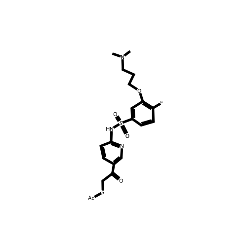 CC(=O)SCC(=O)c1ccc(NS(=O)(=O)c2ccc(F)c(OCCCN(C)C)c2)nc1